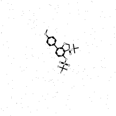 COc1ccc(-c2ccc(OS(=O)(=O)C(F)(F)F)c3c2OC[P@]3(=O)C(C)(C)C)cc1